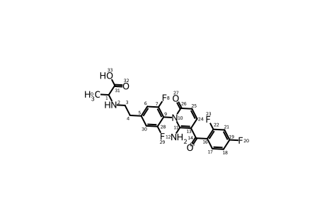 CC(NCCc1cc(F)c(-n2c(N)c(C(=O)c3ccc(F)cc3F)ccc2=O)c(F)c1)C(=O)O